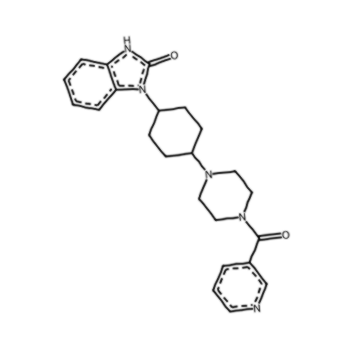 O=C(c1cccnc1)N1CCN(C2CCC(n3c(=O)[nH]c4ccccc43)CC2)CC1